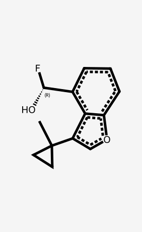 CC1(c2coc3cccc([C@H](O)F)c23)CC1